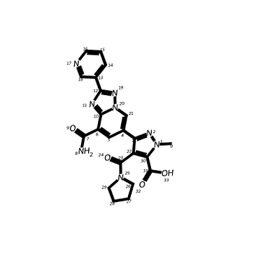 Cn1nc(-c2cc(C(N)=O)c3nc(-c4cccnc4)nn3c2)c(C(=O)N2CCCC2)c1C(=O)O